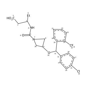 CCC(CC(=O)O)NC(=O)N1CC(OC(c2ccc(Cl)cc2)c2ccccc2C(F)(F)F)C1